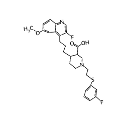 COc1ccc2ncc(F)c(CCCC3CCN(CCSc4cccc(F)c4)CC3C(=O)O)c2c1